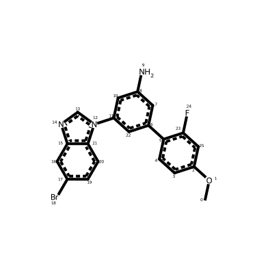 COc1ccc(-c2cc(N)cc(-n3cnc4cc(Br)ccc43)c2)c(F)c1